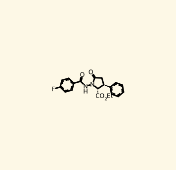 CCOC(=O)[C@H]1[C@H](c2ccccc2)CC(=O)N1NC(=O)c1ccc(F)cc1